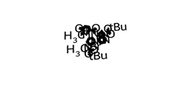 CN(C(=O)OC(C)(C)C)[C@@H]1CCCN(c2c(Br)cnc3c2c(NC(=O)c2ccc(=O)n(C)c2)cn3C(=O)OC(C)(C)C)C1